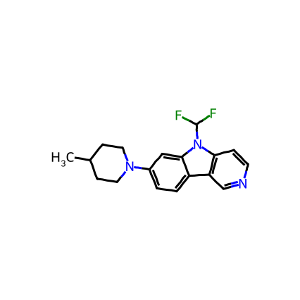 CC1CCN(c2ccc3c4cnccc4n(C(F)F)c3c2)CC1